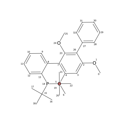 COc1cc(OC)c(-c2ccccc2P(C(C)(C)C)C(C)(C)C)c(OC)c1-c1ccccc1